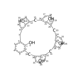 Oc1c2cccc1Cc1cccc(c1O)Cc1cccc(c1O)Cc1cccc(c1O)Cc1cccc(c1O)C2